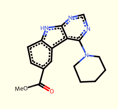 COC(=O)c1ccc2[nH]c3ncnc(N4CCCCC4)c3c2c1